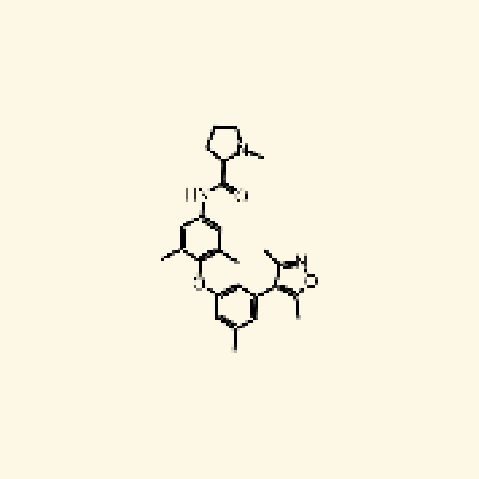 Cc1cc(Oc2c(C)cc(NC(=O)C3CCCN3C)cc2C)cc(-c2c(C)noc2C)c1